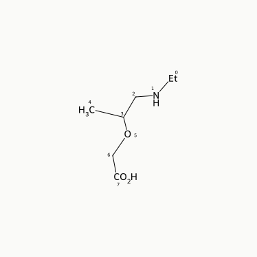 CCNCC(C)OCC(=O)O